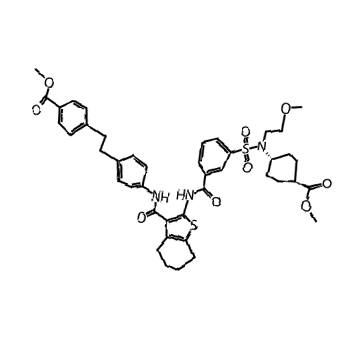 COCCN([C@H]1CC[C@H](C(=O)OC)CC1)S(=O)(=O)c1cccc(C(=O)Nc2sc3c(c2C(=O)Nc2ccc(CCc4ccc(C(=O)OC)cc4)cc2)CCCC3)c1